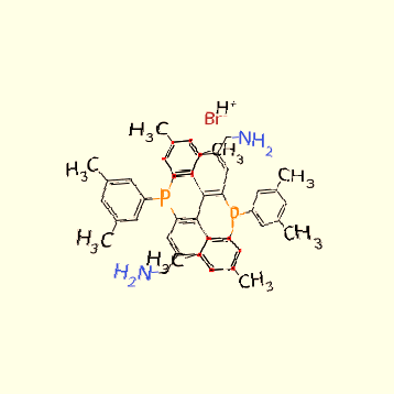 Cc1cc(C)cc(P(c2cc(C)cc(C)c2)c2cc(CN)c3ccccc3c2-c2c(P(c3cc(C)cc(C)c3)c3cc(C)cc(C)c3)cc(CN)c3ccccc23)c1.[Br-].[H+]